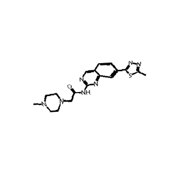 Cc1nnc(-c2ccc3cnc(NC(=O)CN4CCN(C)CC4)nc3c2)s1